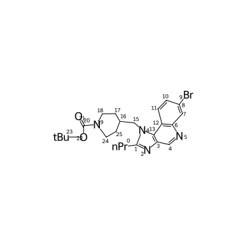 CCCc1nc2cnc3cc(Br)ccc3c2n1CC1CCN(C(=O)OC(C)(C)C)CC1